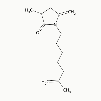 C=C(C)CCCCCN1C(=C)CC(C)C1=O